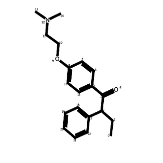 CCC(C(=O)c1ccc(OCCN(C)C)cc1)c1ccccc1